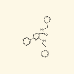 O=C(NCc1ccccc1)c1ccc(-c2ccccc2)nc1NCCc1ccccn1